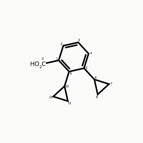 O=C(O)c1cccc(C2CC2)c1C1CC1